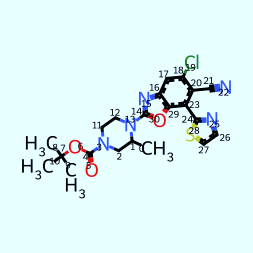 CC1CN(C(=O)OC(C)(C)C)CCN1c1nc2cc(Cl)c(C#N)c(-c3nccs3)c2o1